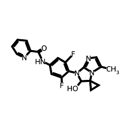 Cc1cnc2n1C1(CC1)C(O)N2c1c(F)cc(NC(=O)c2ccccn2)cc1F